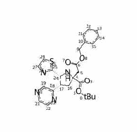 CC(C)(C)OC(=O)[C@]1(CC(=O)OCc2ccccc2)C[C@H](c2cnccn2)[C@H](c2nccs2)N1